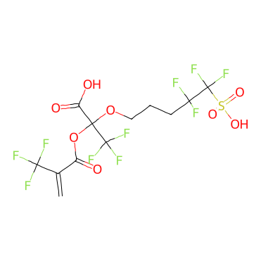 C=C(C(=O)OC(OCCCC(F)(F)C(F)(F)S(=O)(=O)O)(C(=O)O)C(F)(F)F)C(F)(F)F